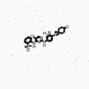 CP(C)(=O)c1ccccc1Nc1nc(Nc2ccc(N3CC4(CCC(=O)CC4)C3)c(N)c2)ncc1Cl